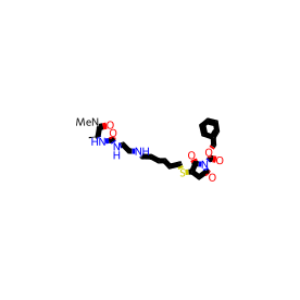 CNC(=O)[C@@H](C)NC(=O)NCCNCCCCCCSC1CC(=O)N(C(=O)OCc2ccccc2)C1=O